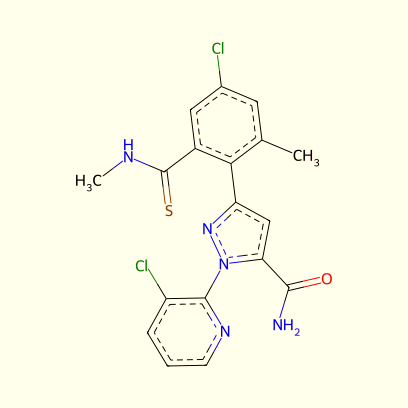 CNC(=S)c1cc(Cl)cc(C)c1-c1cc(C(N)=O)n(-c2ncccc2Cl)n1